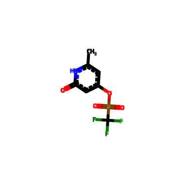 Cc1cc(OS(=O)(=O)C(F)(F)F)cc(=O)[nH]1